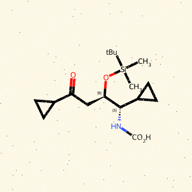 CC(C)(C)[Si](C)(C)O[C@H](CC(=O)C1CC1)[C@@H](NC(=O)O)C1CC1